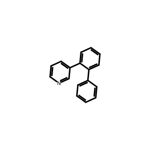 c1ccc(-c2ccccc2-c2cccnc2)cc1